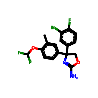 Cc1cc(C2(c3ccc(F)c(Br)c3)COC(N)=N2)ccc1OC(F)F